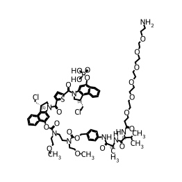 COCCN(CCN(CCOC)C(=O)Oc1cc2c(c3ccccc13)[C@H](CCl)CN2C(=O)c1ccc(C(=O)N2C[C@@H](CCl)c3c2cc(OP(=O)(O)O)c2ccccc32)s1)C(=O)OCc1ccc(NC(=O)[C@H](C)NC(=O)[C@@H](NC(=O)CCOCCOCCOCCOCCOCCOCCN)C(C)C)cc1